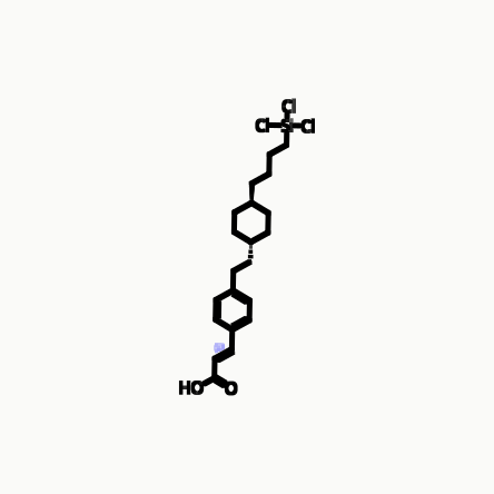 O=C(O)/C=C/c1ccc(CC[C@H]2CC[C@H](CCCC[Si](Cl)(Cl)Cl)CC2)cc1